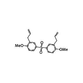 C=CCc1cc(S(=O)(=O)c2ccc(OC)c(CC=C)c2)ccc1OC